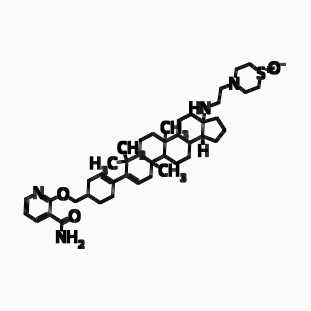 CC1(C)C(C2=CCC(COc3ncccc3C(N)=O)CC2)=CCC2(C)C1CCC1(C)C3CCC4(NCCN5CC[S+]([O-])CC5)CCC[C@@H]4C3CCC12